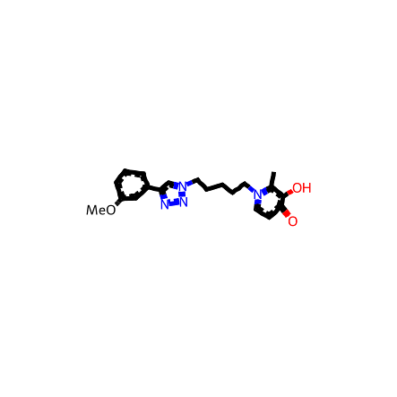 COc1cccc(-c2cn(CCCCCn3ccc(=O)c(O)c3C)nn2)c1